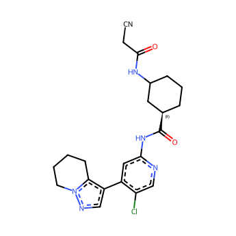 N#CCC(=O)NC1CCC[C@@H](C(=O)Nc2cc(-c3cnn4c3CCCC4)c(Cl)cn2)C1